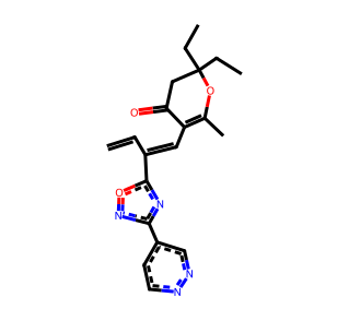 C=C/C(=C\C1=C(C)OC(CC)(CC)CC1=O)c1nc(-c2ccnnc2)no1